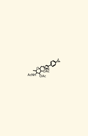 CC(=O)NC1C(C)OC(Cn2cc(-c3ccc(N(C)C)cc3)nn2)C(OC(C)=O)C1OC(C)=O